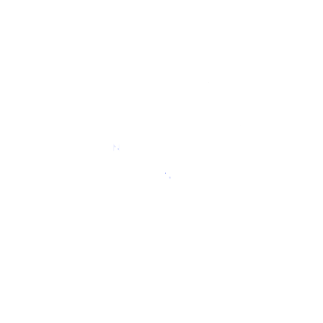 Fc1ccc(C2CN(Cc3ccccc3)CCN2Cc2ccccc2)cc1